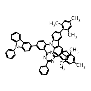 Cc1cc(C)c(-c2ccc3c(c2)c2cc(-c4c(C)cc(C)cc4C)ccc2n3-c2ccc(-c3ccc4c(c3)c3ccccc3n4-c3ccccc3)cc2-c2nc(-c3ccccc3)nc(-c3ccccc3)n2)c(C)c1